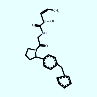 C/C=C\[C@H](O)C(=O)NCC(=O)N1CCCC1c1ccc(Cc2ccccc2)cc1